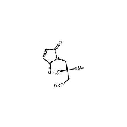 COCC(C)(CN1C(=O)C=CC1=O)OC